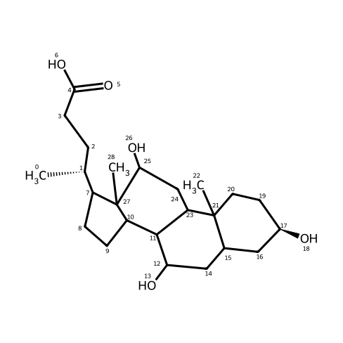 C[C@H](CCC(=O)O)C1CCC2C3C(O)CC4C[C@H](O)CCC4(C)C3CC(O)C21C